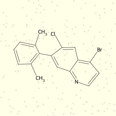 Cc1cccc(C)c1-c1cc2nccc(Br)c2cc1Cl